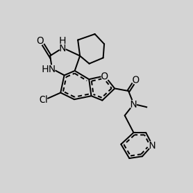 CN(Cc1cccnc1)C(=O)c1cc2cc(Cl)c3c(c2o1)C1(CCCCC1)NC(=O)N3